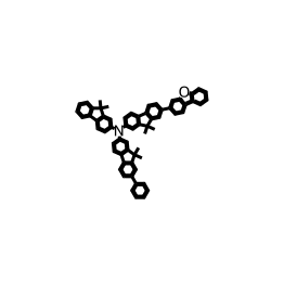 CC1(C)c2ccccc2-c2ccc(N(c3ccc4c(c3)C(C)(C)c3cc(-c5ccccc5)ccc3-4)c3ccc4c(c3)C(C)(C)c3cc(-c5ccc6c(c5)oc5ccccc56)ccc3-4)cc21